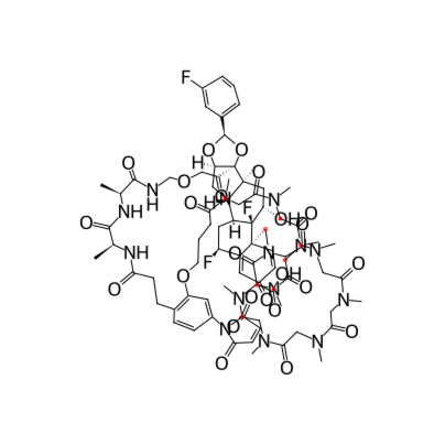 C[C@H](NC(=O)CCc1ccc(N2C(=O)C=CC2=O)cc1OCCCC(=O)N(C)CC(=O)N(C)CC(=O)N(C)CC(=O)N(C)CC(=O)N(C)CC(=O)N(C)CC(=O)N(C)CC(=O)N(C)CC(=O)N(C)CC(=O)N(C)CC(=O)O)C(=O)N[C@@H](C)C(=O)NCOCC(=O)[C@@]12O[C@H](c3cccc(F)c3)O[C@@H]1C[C@H]1[C@@H]3C[C@H](F)C4=CC(=O)C=C[C@]4(C)[C@@]3(F)[C@@H](O)C[C@@]12C